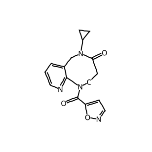 O=C(c1ccno1)N1CCC(=O)N(C2CC2)Cc2cccnc21